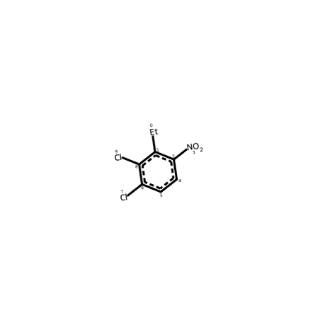 CCc1c([N+](=O)[O-])ccc(Cl)c1Cl